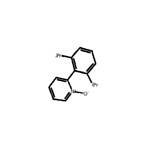 CC(C)c1cccc(C(C)C)c1-c1cccc[n+]1[O-]